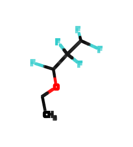 CCOC(F)C(F)(F)C(F)F